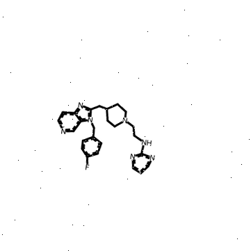 Fc1ccc(Cn2c(CC3CCN(CCNc4ncccn4)CC3)nc3ccncc32)cc1